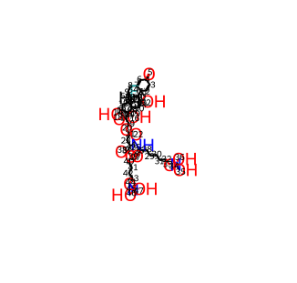 C[C@]12C=CC(=O)C=C1CC[C@H]1[C@@H]3C[C@@H](O)[C@](O)(C(=O)COC(=O)CC(NC(=O)CCCCCON(O)O)C(=O)OCCCCON(O)O)[C@@]3(C)C[C@H](O)[C@@]12F